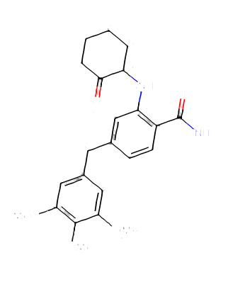 COc1cc(Cc2ccc(C(N)=O)c(NC3CCCCC3=O)c2)cc(OC)c1OC